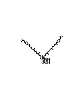 CC(C)=CCOC/C(C)=C/CC/C(C)=C/CC/C(C)=C/COP(=O)(OC/C=C(\C)CC/C=C(\C)CC/C=C(\C)COCC=C(C)C)OP(=O)(O)O